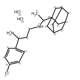 CC(NCCC(N)c1ccc(Cl)cc1)C12CC3CC(CC(C3)C1)C2.Cl.Cl